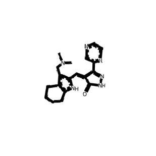 CN(C)Cc1c(C=C2C(=O)NN=C2c2cnccn2)[nH]c2c1CCCC2